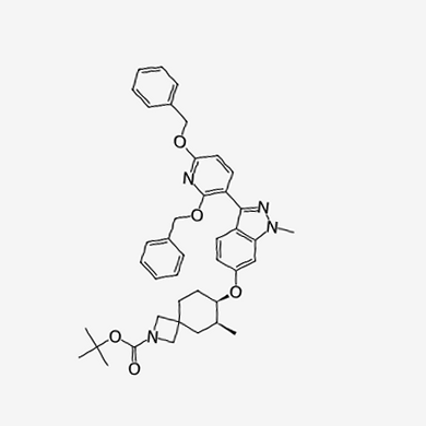 C[C@H]1CC2(CC[C@H]1Oc1ccc3c(-c4ccc(OCc5ccccc5)nc4OCc4ccccc4)nn(C)c3c1)CN(C(=O)OC(C)(C)C)C2